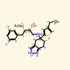 CC(=O)N[C@@H](Cc1cc(F)cc(F)c1)[C@H](O)CNC1(c2cc(CC(C)(C)C)cs2)CCc2n[nH]cc2C1